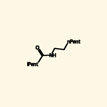 CCCCCCCNC(=O)C(C)CCC